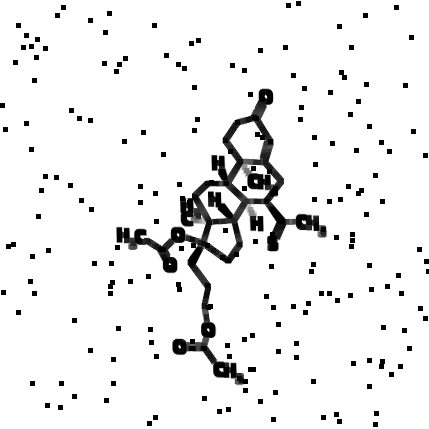 CC(=O)OCCC[C@]1(OC(C)=O)CC[C@H]2[C@@H]3[C@H](C(C)=S)CC4=CC(=O)CC[C@]4(C)[C@H]3CC[C@@]21C